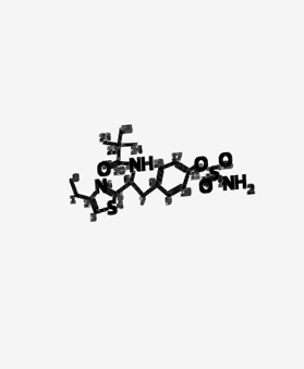 CCc1csc(C(Cc2ccc(OS(N)(=O)=O)cc2)NC(=O)C(C)(C)C)n1